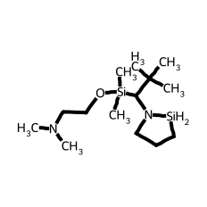 CN(C)CCO[Si](C)(C)C(N1CCC[SiH2]1)C(C)(C)C